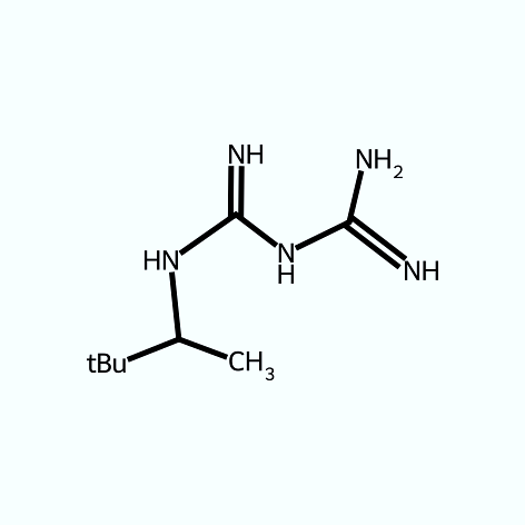 CC(NC(=N)NC(=N)N)C(C)(C)C